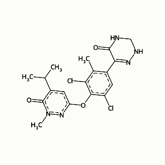 Cc1c(C2=NNCNC2=O)cc(Cl)c(Oc2cc(C(C)C)c(=O)n(C)n2)c1Cl